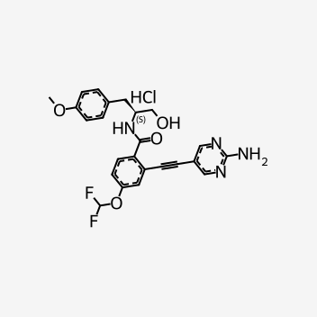 COc1ccc(C[C@@H](CO)NC(=O)c2ccc(OC(F)F)cc2C#Cc2cnc(N)nc2)cc1.Cl